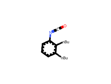 CCCCc1cccc(N=C=O)c1CCCC